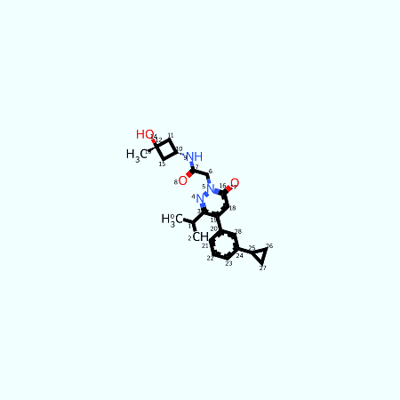 CC(C)c1nn(CC(=O)N[C@H]2C[C@@](C)(O)C2)c(=O)cc1-c1cccc(C2CC2)c1